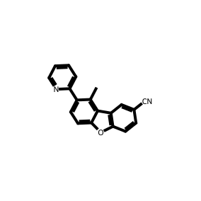 Cc1c(-c2ccccn2)ccc2oc3ccc(C#N)cc3c12